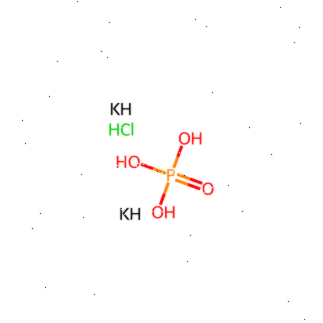 Cl.O=P(O)(O)O.[KH].[KH]